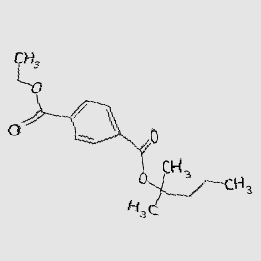 CCCC(C)(C)OC(=O)c1ccc(C(=O)OCC)cc1